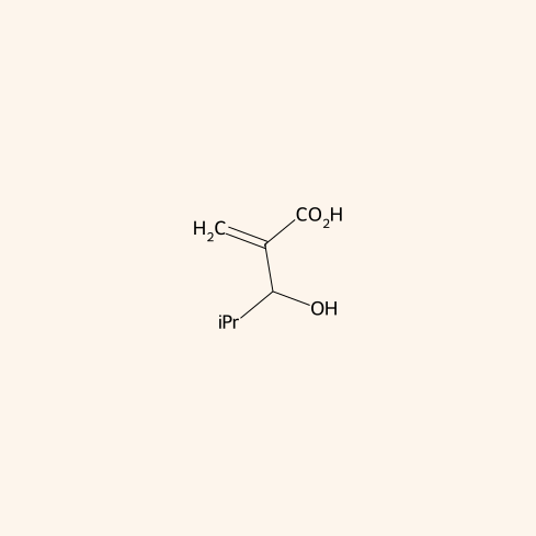 C=C(C(=O)O)C(O)C(C)C